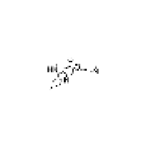 CNc1c2c(nc3cc(OCCCN(C)C)c(OC)cc13)CC(C)C2